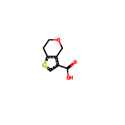 O=C(O)c1csc2c1COCC2